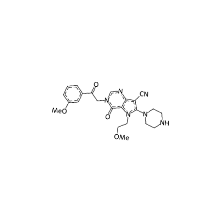 COCCn1c(N2CCNCC2)c(C#N)c2ncn(CC(=O)c3cccc(OC)c3)c(=O)c21